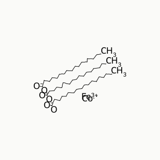 CCCCCCCCCCCCCCCCCC(=O)[O-].CCCCCCCCCCCCCCCCCC(=O)[O-].CCCCCCCCCCCCCCCCCC(=O)[O-].[Co].[Fe+3]